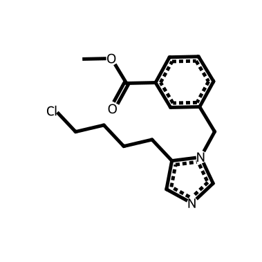 COC(=O)c1cccc(Cn2cncc2CCCCCl)c1